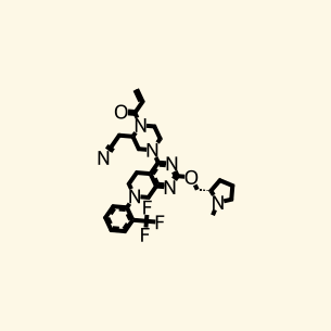 C=CC(=O)N1CCN(c2nc(OC[C@@H]3CCCN3C)nc3c2CCN(c2ccccc2C(F)(F)F)C3)CC1CC#N